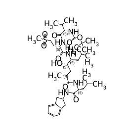 CC(C)C[C@H](NC(=O)[C@H](C)C[C@H](O)[C@H](CC(C)C)NC(=O)[C@H](CCS(C)(=O)=O)NC(=O)[C@@H](NC(=O)OC(C)(C)C)C(C)C)C(=O)NC1Cc2ccccc2C1